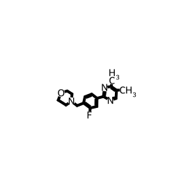 Cc1cnc(-c2ccc(CN3CCOCC3)c(F)c2)nc1C